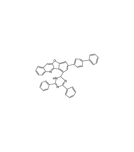 c1ccc(C2=NC(c3cc(-c4ccc(-c5ccccc5)cc4)cc4oc5cc6ccccc6nc5c34)NC(c3ccccc3)=N2)cc1